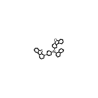 c1ccc2c(N(c3ccc(-c4cccc5c4sc4ccccc45)cc3)c3ccc4oc5ccccc5c4c3)cccc2c1